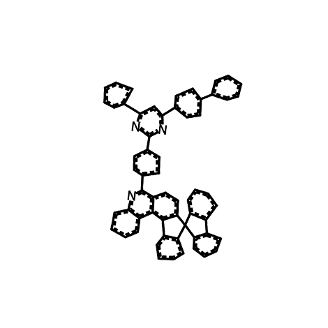 c1ccc(-c2ccc(-c3cc(-c4ccccc4)nc(-c4ccc(-c5nc6ccccc6c6c7c(ccc56)C5(c6ccccc6-c6ccccc65)c5ccccc5-7)cc4)n3)cc2)cc1